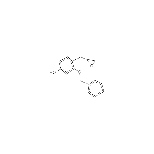 Oc1ccc(CC2CO2)c(OCc2ccccc2)c1